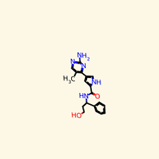 Cc1cnc(N)nc1-c1c[nH]c(C(=O)NC(CCO)c2ccccc2)c1